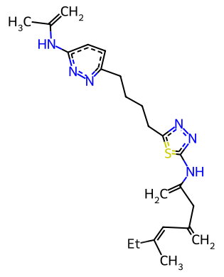 C=C(/C=C(\C)CC)CC(=C)Nc1nnc(CCCCc2ccc(NC(=C)C)nn2)s1